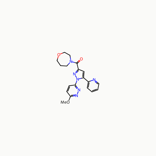 COc1ccc(-n2nc(C(=O)N3CCCOCC3)cc2-c2ccccn2)nn1